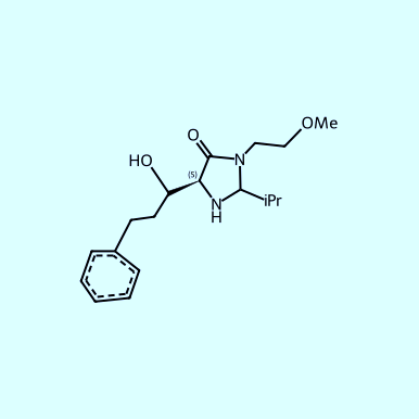 COCCN1C(=O)[C@H](C(O)CCc2ccccc2)NC1C(C)C